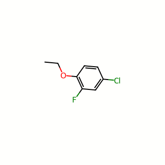 CCOc1ccc(Cl)cc1F